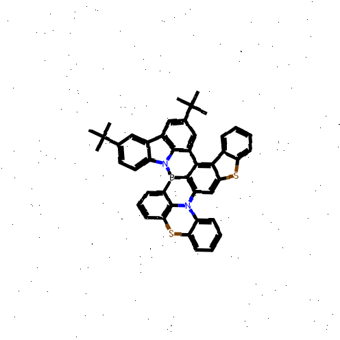 CC(C)(C)c1ccc2c(c1)c1cc(C(C)(C)C)cc3c1n2B1c2cccc4c2N(c2ccccc2S4)c2cc4sc5ccccc5c4c-3c21